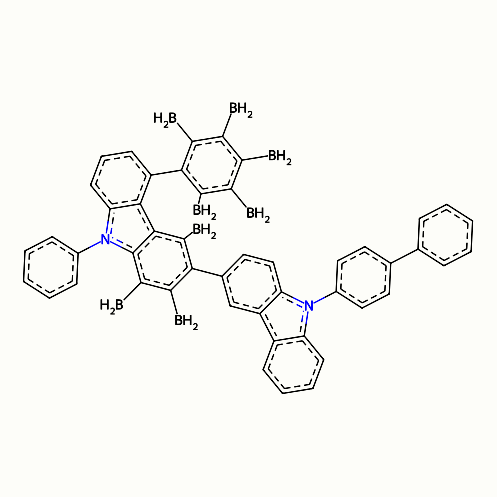 Bc1c(B)c(B)c(-c2cccc3c2c2c(B)c(-c4ccc5c(c4)c4ccccc4n5-c4ccc(-c5ccccc5)cc4)c(B)c(B)c2n3-c2ccccc2)c(B)c1B